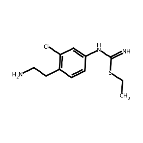 CCSC(=N)Nc1ccc(CCN)c(Cl)c1